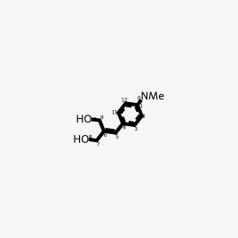 CNc1ccc(C=C(CO)CO)cc1